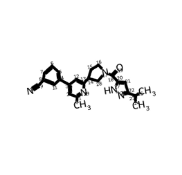 Cc1cc(-c2cccc(C#N)c2)cc(C2CCN(C(=O)c3cc(C(C)C)n[nH]3)C2)n1